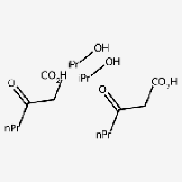 CC(C)O.CC(C)O.CCCC(=O)CC(=O)O.CCCC(=O)CC(=O)O